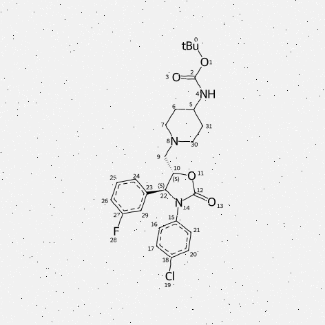 CC(C)(C)OC(=O)NC1CCN(C[C@@H]2OC(=O)N(c3ccc(Cl)cc3)[C@H]2c2cccc(F)c2)CC1